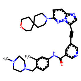 CN1CCN(Cc2ccc(NC(=O)c3cncc(C#Cc4cnc5ccc(N6CCC7(CCOCC7)CC6)nn45)c3)cc2C(F)(F)F)CC1